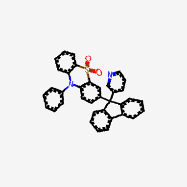 O=S1(=O)c2ccccc2N(c2ccccc2)c2ccc(C3(c4cccnc4)c4ccccc4-c4ccccc43)cc21